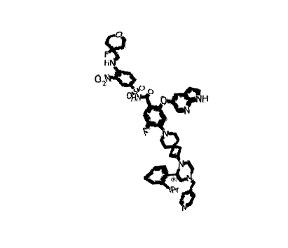 CC(C)c1ccccc1[C@@H]1CN(Cc2ccncc2)CCN1C1CC2(CCN(c3cc(Oc4cnc5[nH]ccc5c4)c(C(=O)NS(=O)(=O)c4ccc(NCC5(F)CCOCC5)c([N+](=O)[O-])c4)cc3F)CC2)C1